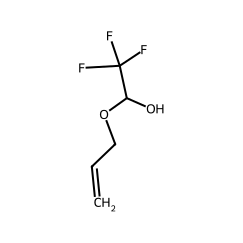 C=CCOC(O)C(F)(F)F